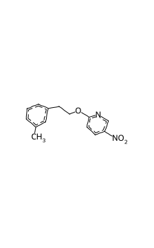 Cc1cccc(CCOc2ccc([N+](=O)[O-])cn2)c1